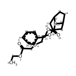 CCOC(=O)COCCOC1CC2CCC(C1)N2C(=O)OCc1ccccc1